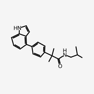 CC(C)CNC(=O)C(C)(C)c1ccc(-c2cccc3[nH]ccc23)cc1